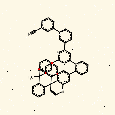 CC1(C)c2ccccc2C2(c3ccccc3Sc3cc(-c4ccccc4-c4cc(-c5cccc(-c6cccc(C#N)c6)c5)nc(-c5ccccc5)n4)ccc32)c2ccccc21